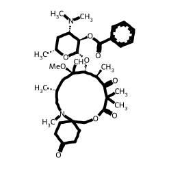 CO[C@]1(C)C[C@@H](C)CN(C)C2(CCC(=O)CC2)COC(=O)C(C)(C)C(=O)[C@H](C)[C@H]1O[C@@H]1O[C@H](C)C[C@H](N(C)C)[C@H]1OC(=O)c1ccccc1